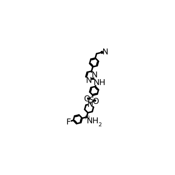 N#CCc1ccc(-c2ccnc(Nc3ccc(S(=O)(=O)N4CCC([C@@H](N)c5ccc(F)cc5)CC4)cc3)n2)cc1